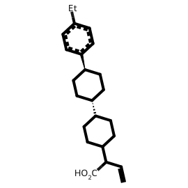 C=CC(C(=O)O)C1CCC([C@H]2CC[C@H](c3ccc(CC)cc3)CC2)CC1